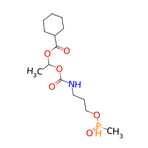 CC(OC(=O)NCCCO[PH](C)=O)OC(=O)C1CCCCC1